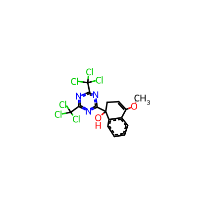 COC1=CCC(O)(c2nc(C(Cl)(Cl)Cl)nc(C(Cl)(Cl)Cl)n2)c2ccccc21